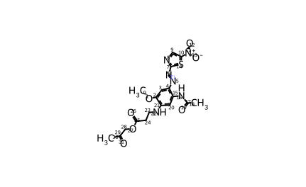 COc1cc(/N=N/c2ncc([N+](=O)[O-])s2)c(NC(C)=O)cc1NCCC(=O)OCC(C)=O